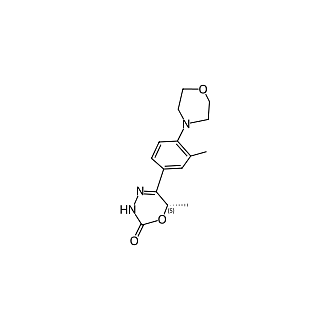 Cc1cc(C2=NNC(=O)O[C@H]2C)ccc1N1CCOCC1